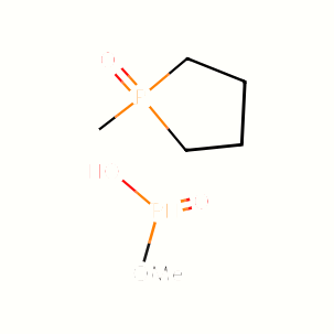 CO[PH](=O)O.CP1(=O)CCCC1